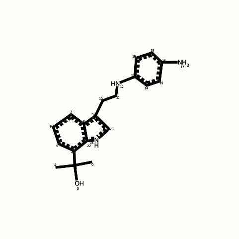 CC(C)(O)c1cccc2c(CCNc3ccc(N)cc3)c[nH]c12